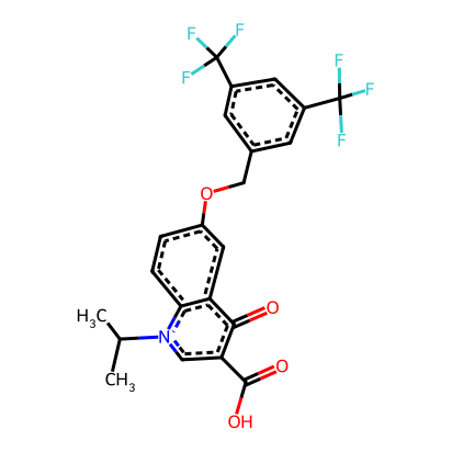 CC(C)n1cc(C(=O)O)c(=O)c2cc(OCc3cc(C(F)(F)F)cc(C(F)(F)F)c3)ccc21